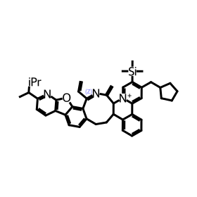 C=C/C1=N/C(=C)C2C(CCc3ccc4c(oc5nc(C(C)C(C)C)ccc54)c31)c1ccccc1-c1cc(CC3CCCC3)c([Si](C)(C)C)c[n+]12